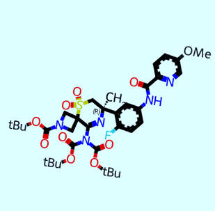 COc1ccc(C(=O)Nc2ccc(F)c([C@]3(C)CS(=O)(=O)C4(CN(C(=O)OC(C)(C)C)C4)C(N(C(=O)OC(C)(C)C)C(=O)OC(C)(C)C)=N3)c2)nc1